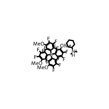 COc1c(F)c(F)c(F)c([B-](c2c(F)c(F)c(F)c(OC)c2F)(c2c(F)c(F)c(F)c(OC)c2F)c2c(F)c(F)c(F)c(OC)c2F)c1F.C[NH+](C)C1CCCCC1